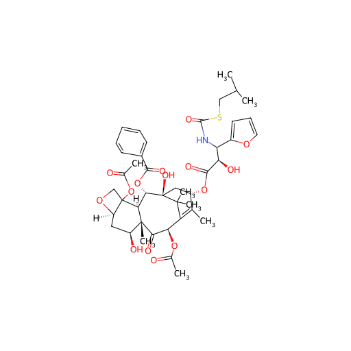 CC(=O)O[C@H]1C(=O)[C@@]2(C)[C@H]([C@H](OC(=O)c3ccccc3)[C@]3(O)C[C@H](OC(=O)[C@H](O)C(NC(=O)SCC(C)C)c4ccco4)C(C)=C1C3(C)C)C1(OC(C)=O)CO[C@@H]1C[C@@H]2O